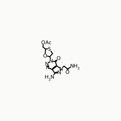 CC(=O)OCC1OC(n2nnc3c(N)nn(CC(N)=O)c3c2=O)CS1